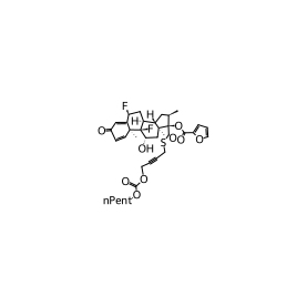 CCCCCOC(=O)OCC#CCSC(=O)[C@@]1(OC(=O)c2ccco2)[C@H](C)C[C@H]2[C@@H]3C[C@H](F)C4=CC(=O)C=C[C@]4(C)[C@@]3(F)[C@@H](O)C[C@@]21C